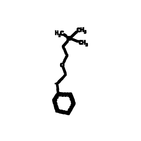 C[Si](C)(C)CCOC[CH]c1ccccc1